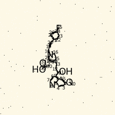 COc1ccc2nccc(C(O)CC[C@@H]3CCN(CC#Cc4ccc(F)cc4)C[C@@H]3CC(=O)O)c2c1